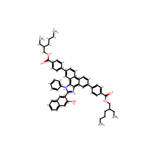 CCCCC(CC)COC(=O)c1ccc(-c2ccc3c4ccc(-c5ccc(C(=O)OCC(CC)CCCC)cc5)cc4c4c(nc(-c5cc6ccccc6cc5O)n4-c4ccccc4)c3c2)cc1